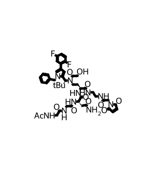 CC(=O)NCC(=O)NCC(=O)N[C@@H](CC(N)=O)C(=O)N[C@@H](CCN(C(=O)CO)[C@@H](c1cc(-c2cc(F)ccc2F)cn1Cc1ccccc1)C(C)(C)C)C(=O)NCCNC(=O)CN1C(=O)C=CC1=O